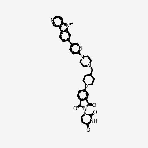 Cn1c2ccncc2c2ccc(-c3ccc(N4CCN(CC5CCN(c6ccc7c(c6)C(=O)N(N6CCC(=O)NC6=O)C7=O)CC5)CC4)nc3)cc21